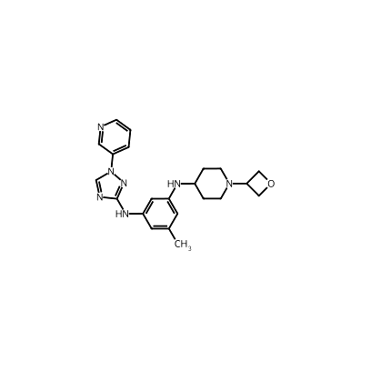 Cc1cc(Nc2ncn(-c3cccnc3)n2)cc(NC2CCN(C3COC3)CC2)c1